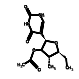 CC[C@H]1O[C@@H](c2c[nH]c(=O)[nH]c2=O)C(OC(C)=O)[C@H]1C